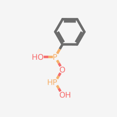 OPOP(O)c1ccccc1